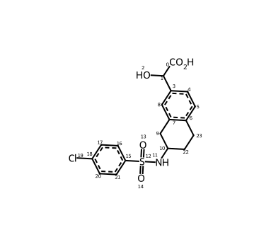 O=C(O)C(O)c1ccc2c(c1)CC(NS(=O)(=O)c1ccc(Cl)cc1)CC2